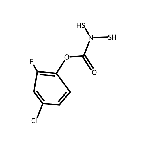 O=C(Oc1ccc(Cl)cc1F)N(S)S